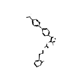 CC[C@@H](C(=O)O)c1ccc(-c2ccc(-c3onc(C)c3NC(=O)OCCc3ccccc3Cl)cc2)cc1